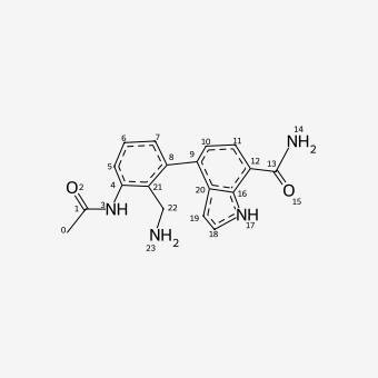 CC(=O)Nc1cccc(-c2ccc(C(N)=O)c3[nH]ccc23)c1CN